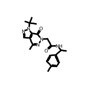 Cc1ccc(C(C)NC(=O)Cn2nc(C)c3cnn(C(C)(C)C)c3c2=O)cc1